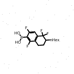 CCCCCCC1CCc2c(cc(F)c(B(O)O)c2F)C1(F)F